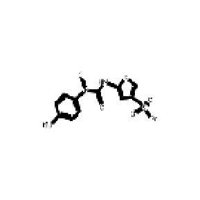 CC(C)S(=O)(=O)c1csc(NC(=O)N(Cl)c2ccc(C(C)(C)C)cc2)c1